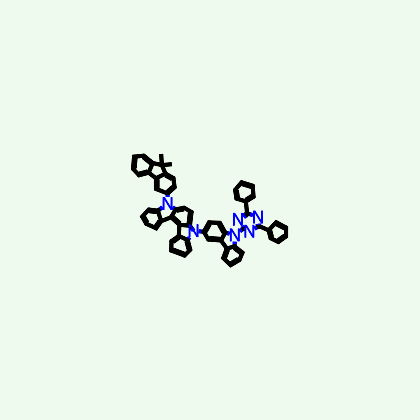 CC1(C)c2ccccc2-c2cc(-n3c4ccccc4c4c5c6ccccc6n(-c6ccc7c(c6)c6ccccc6n7-c6nc(-c7ccccc7)nc(-c7ccccc7)n6)c5ccc43)ccc21